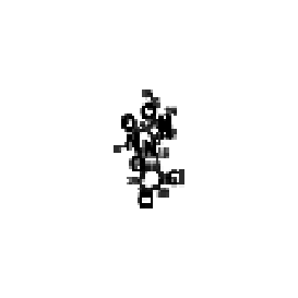 CCOc1c2c(=O)n(C)c(=O)n(Cc3ccc(Cl)cc3Cl)c2nn1C